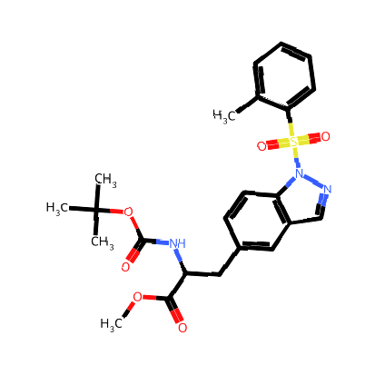 COC(=O)C(Cc1ccc2c(cnn2S(=O)(=O)c2ccccc2C)c1)NC(=O)OC(C)(C)C